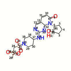 C[C@@]1(O)CCC[C@H]1n1c(=O)ccc2cnc(NC3CCN(S(=O)(=O)CS(C)(=O)=O)CC3)nc21